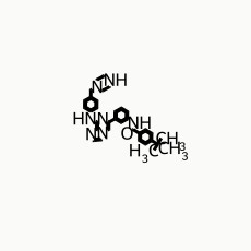 CC(C)(C)c1ccc(C(=O)Nc2cccc(-c3cn4ccnc4c(Nc4ccc(CN5CCNCC5)cc4)n3)c2)cc1